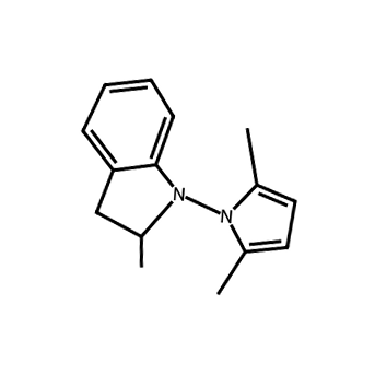 Cc1ccc(C)n1N1c2ccccc2CC1C